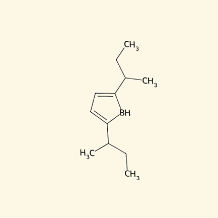 CCC(C)C1=CC=C(C(C)CC)B1